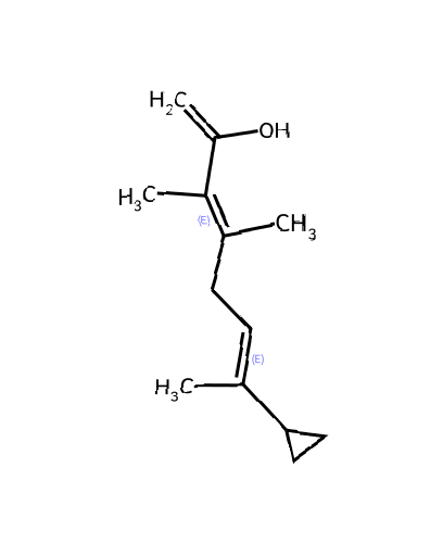 C=C(O)/C(C)=C(\C)C/C=C(\C)C1CC1